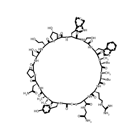 CCCC[C@H]1C(=O)N(C)[C@@H](CCCC)C(=O)N[C@@H](CCCNC(=N)N)C(=O)NC(C(=O)NCC(N)=O)CSCC(=O)N[C@@H](Cc2ccc(O)cc2)C(=O)N(C)[C@@H](C)C(=O)N[C@@H](CC(N)=O)C(=O)N2CCC[C@H]2C(=O)N[C@@H](CO)C(=O)N[C@@H](CCO)C(=O)N2C[C@H](O)C[C@H]2C(=O)N[C@@H](Cc2c[nH]c3ccccc23)C(=O)N[C@@H](CO)C(=O)N[C@@H](Cc2csc3ccccc23)C(=O)N1C